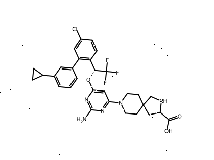 Nc1nc(O[C@H](c2ccc(Cl)cc2-c2cccc(C3CC3)c2)C(F)(F)F)cc(N2CCC3(CC2)CNC(C(=O)O)C3)n1